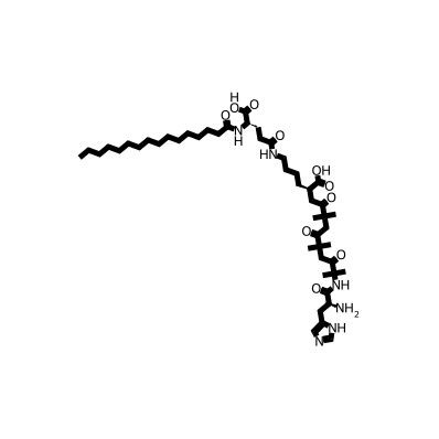 CCCCCCCCCCCCCCCC(=O)N[C@@H](CCC(=O)NCCCC[C@H](CC(=O)C(C)(C)CC(=O)C(C)(C)CC(=O)C(C)(C)NC(=O)[C@@H](N)Cc1cnc[nH]1)C(=O)O)C(=O)O